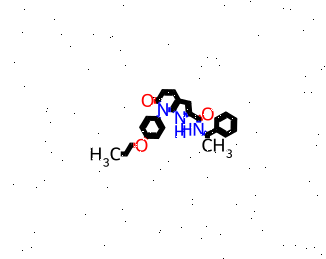 CCCOc1ccc(-n2c(=O)ccc3cc(C(=O)NC(C)c4ccccc4)[nH]c32)cc1